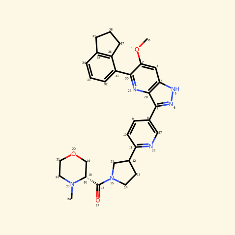 COc1cc2[nH]nc(-c3ccc(C4CCN(C(=O)[C@H]5COCCN5C)C4)nc3)c2nc1-c1cccc2c1CCC2